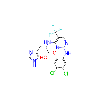 O=C(O)[C@@H](Cc1c[nH]cn1)Nc1nc(Nc2ccc(Cl)c(Cl)c2)ncc1C(F)(F)F